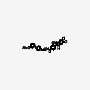 COc1cccc(N2CCN(CCCNC(=O)c3ccc(-c4cc5cc(Cl)c(Cl)cc5[nH]4)c(OC)c3)CC2)c1